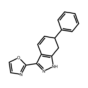 C1=CC(c2ccccc2)Cc2[nH]nc(-c3ncco3)c21